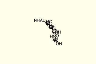 CC(=O)NC[C@H]1CN(c2ccc(N3CCNN(C(=O)Nc4nc(CO)cs4)CC3)c(F)c2)C(=O)O1